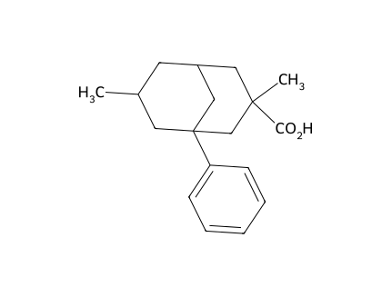 CC1CC2CC(C)(C(=O)O)CC(c3ccccc3)(C1)C2